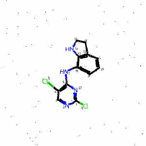 Clc1ncc(Cl)c(Nc2cccc3c2NCC3)n1